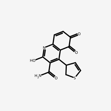 NC(=O)c1c(O)nc2c(c1C1C=CSC1)C(=O)C(=O)C=C2